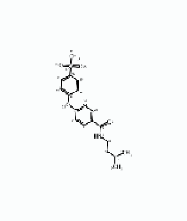 CC(C)CCNC(=O)c1ccc(Oc2ccc(S(C)(=O)=O)cc2)nc1